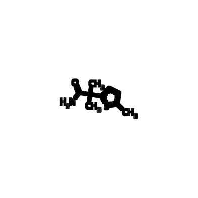 Cc1ccc(C(C)(C)C(N)=O)s1